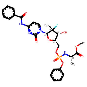 CC(C)OC(=O)[C@H](C)NP(=O)(OC[C@H]1O[C@@H](n2ccc(NC(=O)c3ccccc3)nc2=O)[C@](C)(F)[C@@H]1O)Oc1ccccc1